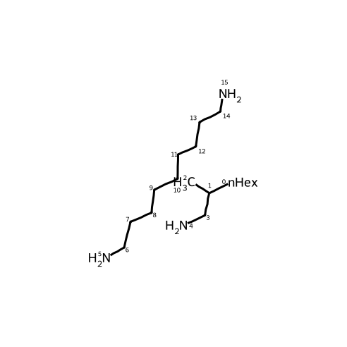 CCCCCCC(C)CN.NCCCCCCCCCN